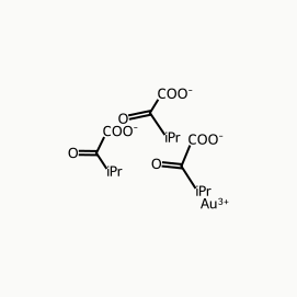 CC(C)C(=O)C(=O)[O-].CC(C)C(=O)C(=O)[O-].CC(C)C(=O)C(=O)[O-].[Au+3]